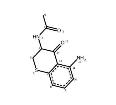 CC(=O)NC1CSc2cccc(N)c2C1=O